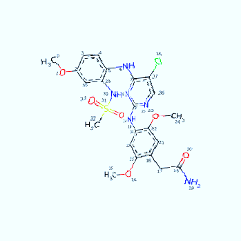 COc1ccc(Nc2nc(Nc3cc(OC)c(CC(N)=O)cc3OC)ncc2Cl)c(NS(C)(=O)=O)c1